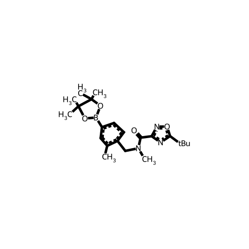 Cc1cc(B2OC(C)(C)C(C)(C)O2)ccc1CN(C)C(=O)c1noc(C(C)(C)C)n1